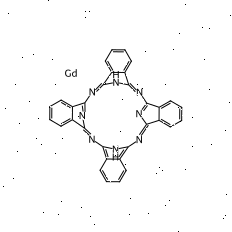 [Gd].c1ccc2c(c1)-c1nc-2nc2[nH]c(nc3nc(nc4[nH]c(n1)c1ccccc41)-c1ccccc1-3)c1ccccc21